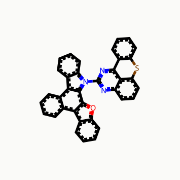 c1ccc2c(c1)Sc1cccc3nc(-n4c5ccccc5c5c6ccccc6c6c7ccccc7oc6c54)nc-2c13